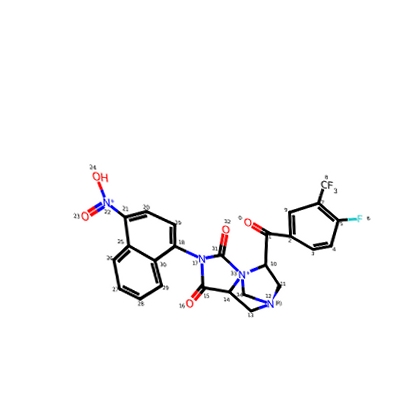 O=C(c1ccc(F)c(C(F)(F)F)c1)C1C[N@@]2CC3C(=O)N(c4ccc([N+](=O)O)c5ccccc45)C(=O)[N+]13C2